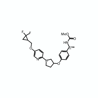 COC(=O)N[C@@H](C)c1ccc(OC2CCN(c3ccc(OCC4CC4(F)F)cn3)C2)cc1